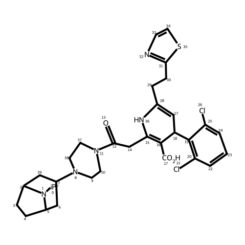 CC(C)N1C2CCC1CC(N1CCN(C(=O)CC3=C(C(=O)O)C(c4c(Cl)cccc4Cl)C=C(CCc4nccs4)N3)CC1)C2